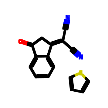 N#CC(C#N)=C1CC(=O)c2ccccc21.c1ccsc1